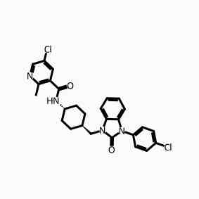 Cc1ncc(Cl)cc1C(=O)N[C@H]1CC[C@H](Cn2c(=O)n(-c3ccc(Cl)cc3)c3ccccc32)CC1